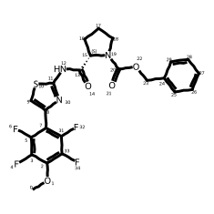 COc1c(F)c(F)c(-c2csc(NC(=O)[C@@H]3CCCN3C(=O)OCc3ccccc3)n2)c(F)c1F